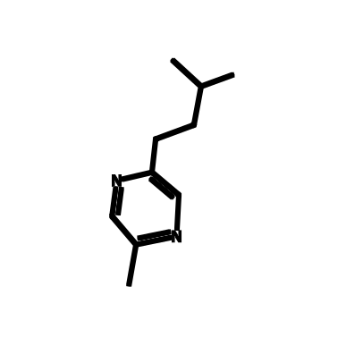 Cc1cnc(CCC(C)C)cn1